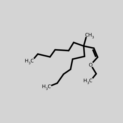 CCCCCCC(C)(/C=C\OCC)CCCCCC